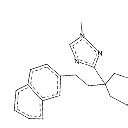 Cn1cnc(C2(CCc3ccc4ccccc4c3)CCCCC2)n1